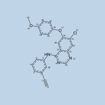 C#Cc1cccc(Nc2ncnc3cc(Cl)c(Oc4ccc(OC)cc4)cc23)c1